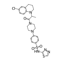 CC(C(=O)N1CCN(c2ccc(S(=O)(=O)Nc3nncs3)cc2)CC1)N1CCCc2cc(Cl)ccc21